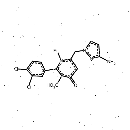 CCn1c(Cn2ccc(N)n2)cc(=O)c(C(=O)O)c1-c1ccc(Cl)c(Cl)c1